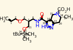 C=CCOC[C@@H](CNC(=O)c1[nH]nc2c1CN(C(=O)O)[C@H](C)C2)CO[Si](C)(C)C(C)(C)C